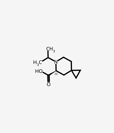 CC(C)N1CCC2(CC2)C[C@H]1C(=O)O